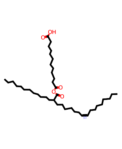 CCCCCCCC/C=C\CCCCCCC(CCCCCCCCCCCC)C(=O)OC(=O)CCCCCCCCCCC(=O)O